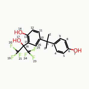 CC(C)(c1ccc(O)cc1)c1ccc(O)c(C(O)(C(F)(F)F)C(F)(F)F)c1